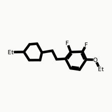 CCOc1ccc(CCC2CCC(CC)CC2)c(F)c1F